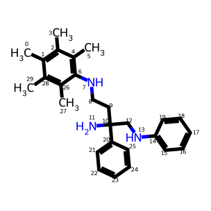 Cc1c(C)c(C)c(NCCC(N)(CNc2ccccc2)c2ccccc2)c(C)c1C